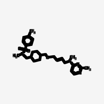 Cc1nccc(N(C)CC=CCOCC2CCC(CN(C)S(=O)(=O)c3ccc(C(F)(F)F)cc3)CC2)n1